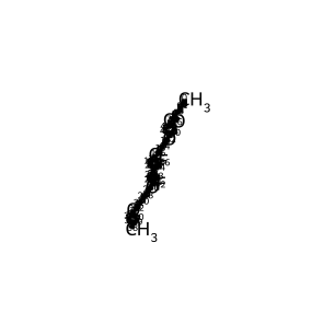 CCCCCC(=O)OC1CCC(OCCCCOc2ccc(-c3ccc(OCCCCCCOC4CCC(C)CC4)c(F)c3)cc2F)CC1